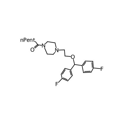 CCCCCC(=O)N1CCN(CCOC(c2ccc(F)cc2)c2ccc(F)cc2)CC1